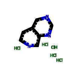 Cl.Cl.Cl.Cl.Cl.c1cc2cncnc2cn1